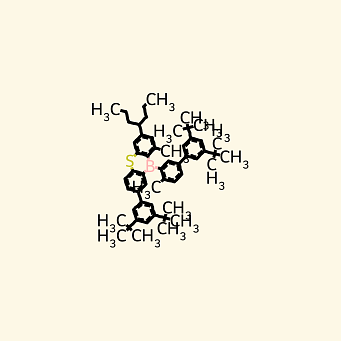 CCCC(CCC)c1cc(C)c2c(c1)Sc1ccc(-c3cc(C(C)(C)C)cc(C(C)(C)C)c3)cc1B2c1cc(-c2cc(C(C)(C)C)cc(C(C)(C)C)c2)ccc1C